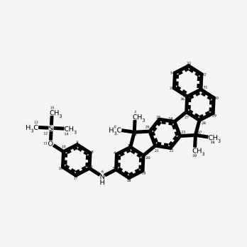 CC1(C)c2cc(Nc3ccc(O[Si](C)(C)C)cc3)ccc2-c2cc3c(cc21)-c1c(ccc2ccccc12)C3(C)C